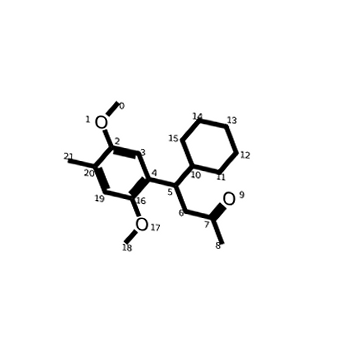 COc1cc(C(CC(C)=O)C2CCCCC2)c(OC)cc1C